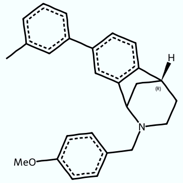 COc1ccc(CN2CC[C@@H]3CC2c2cc(-c4cccc(C)c4)ccc23)cc1